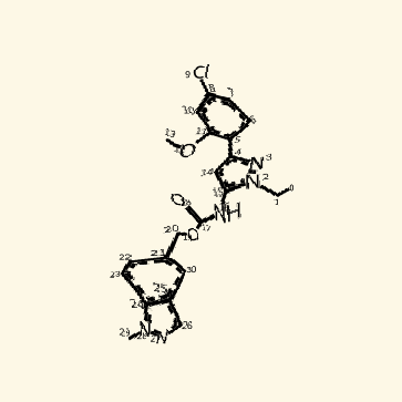 CCn1nc(-c2ccc(Cl)cc2OC)cc1NC(=O)OCc1ccc2c(cnn2C)c1